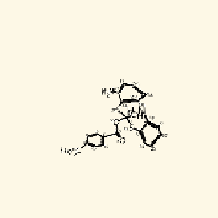 CC(OC(=O)c1ccc(C(=O)O)cc1)(Sc1ccccc1N)Sc1ccccc1N